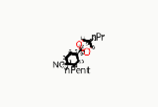 CCCCC[C@]1(C#N)CC[C@@H](C2OCC(CCC)CO2)CC1